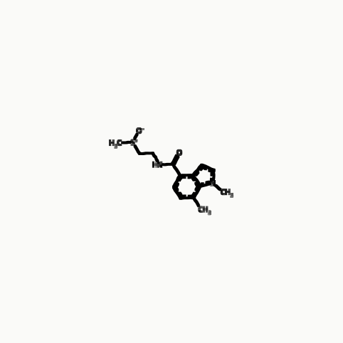 Cc1ccc(C(=O)NCC[S+](C)[O-])c2ccn(C)c12